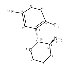 N[C@H]1CCCO[C@@H]1C1=C(F)CCC(F)=C1